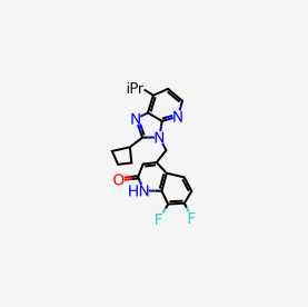 CC(C)c1ccnc2c1nc(C1CCC1)n2Cc1cc(=O)[nH]c2c(F)c(F)ccc12